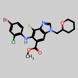 COC(=O)c1cc2c(ncn2CC2CCCCO2)c(F)c1Nc1ccc(Br)cc1Cl